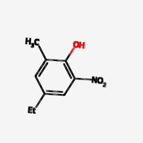 CCc1cc(C)c(O)c([N+](=O)[O-])c1